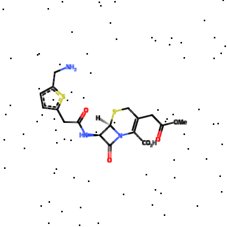 COC(=O)CC1=C(C(=O)O)N2C(=O)[C@@H](NC(=O)Cc3ccc(CN)s3)[C@H]2SC1